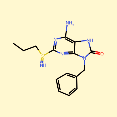 CCCS(=N)c1nc(N)c2[nH]c(=O)n(Cc3ccccc3)c2n1